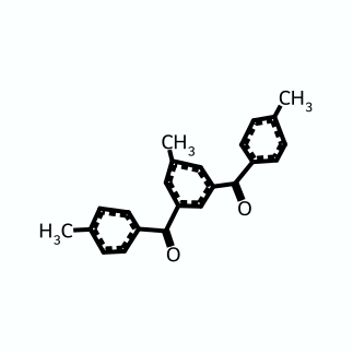 Cc1ccc(C(=O)c2cc(C)cc(C(=O)c3ccc(C)cc3)c2)cc1